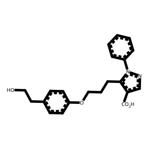 O=C(O)c1cnn(-c2ccccc2)c1CCCOc1ccc(CCO)cc1